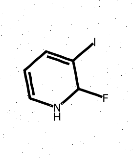 FC1NC=CC=C1I